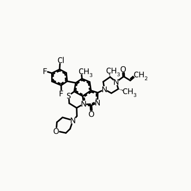 C=CC(=O)N1[C@H](C)CN(c2nc(=O)n3c4c(c(-c5cc(Cl)c(F)cc5F)c(C)cc24)SCC3CN2CCOCC2)C[C@@H]1C